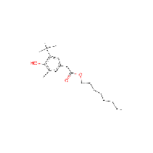 CCCCCCCCOC(=O)Cc1cc(C)c(O)c(C(C)(C)C)c1